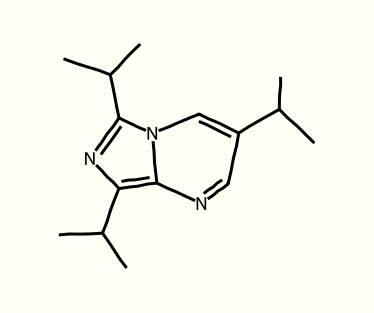 CC(C)c1cnc2c(C(C)C)nc(C(C)C)n2c1